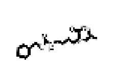 C=C(C)C[C@@H](CCCCNC(=O)OCc1ccccc1)C(=O)O